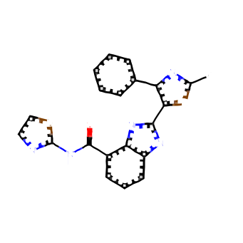 Cc1nc(-c2ccccc2)c(-c2nc3c(C(=O)Nc4nccs4)cccc3[nH]2)s1